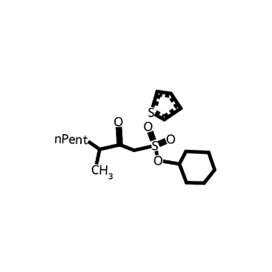 CCCCCC(C)C(=O)CS(=O)(=O)OC1CCCCC1.c1ccsc1